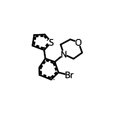 Brc1[c]ccc(-c2cccs2)c1N1CCOCC1